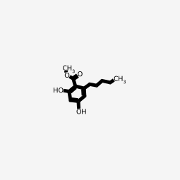 CCCCCc1cc(O)cc(O)c1C(=O)OC